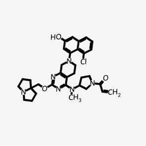 C=CC(=O)N1CCC(N(C)c2nc(OCC34CCCN3CCC4)nc3c2CCN(c2cc(O)cc4cccc(Cl)c24)C3)C1